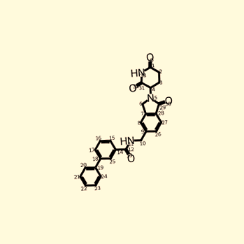 O=C1CCC(N2Cc3cc(CNC(=O)c4cccc(-c5ccccc5)c4)ccc3C2=O)C(=O)N1